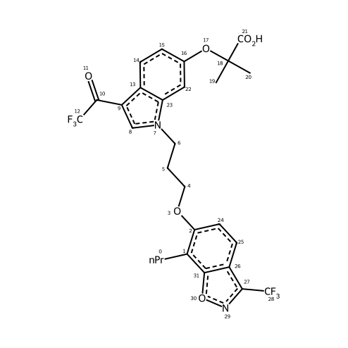 CCCc1c(OCCCn2cc(C(=O)C(F)(F)F)c3ccc(OC(C)(C)C(=O)O)cc32)ccc2c(C(F)(F)F)noc12